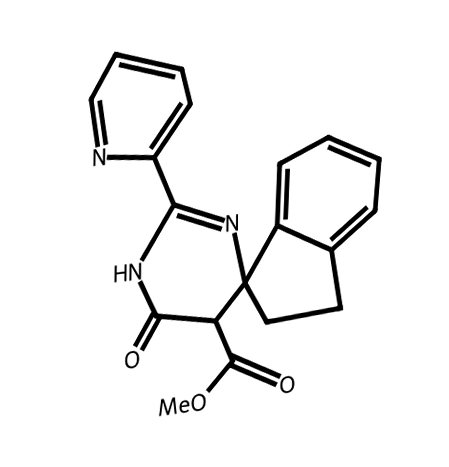 COC(=O)C1C(=O)NC(c2ccccn2)=NC12CCc1ccccc12